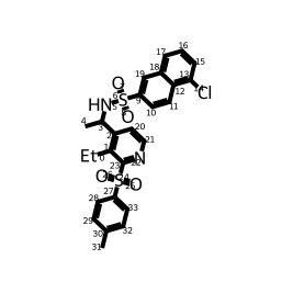 CCc1c(C(C)NS(=O)(=O)c2ccc3c(Cl)cccc3c2)ccnc1S(=O)(=O)c1ccc(C)cc1